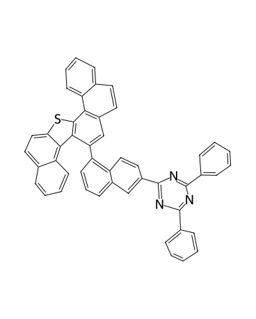 c1ccc(-c2nc(-c3ccccc3)nc(-c3ccc4c(-c5cc6ccc7ccccc7c6c6sc7ccc8ccccc8c7c56)cccc4c3)n2)cc1